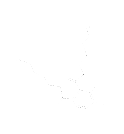 CC(C)c1ccc(C(=O)CCCCCC(C)(C)C)c(C(=O)CCCCCC(C)(C)C)c1C(C)C